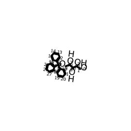 O=C[C@@H](O)[C@H](O)[C@H](O)COC(c1ccccc1)(c1ccccc1)c1ccccc1